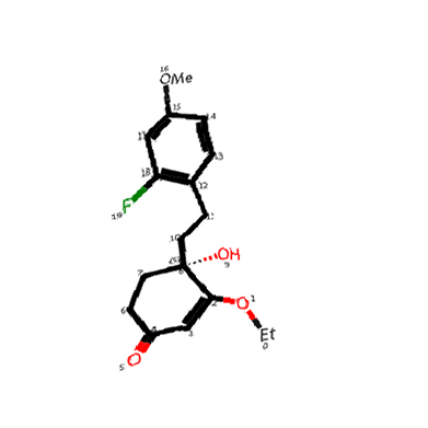 CCOC1=CC(=O)CC[C@@]1(O)CCc1ccc(OC)cc1F